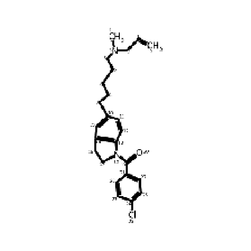 C=CCN(C)CCCCCc1ccc2c(c1)CCN2C(=O)c1ccc(Cl)cc1